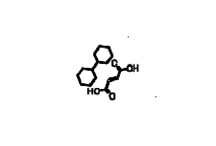 C1CCC(C2CCCCC2)CC1.O=C(O)/C=C/C(=O)O